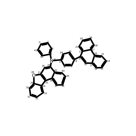 c1ccc(N(c2ccc(-c3cc4ccccc4c4ccccc34)cc2)c2cc3oc4ccccc4c3c3ccccc23)cc1